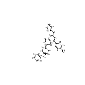 Clc1ccc(CCC(Cn2ccnc2)Sc2ccc(N3CCN(Cc4ccccc4)CC3)cc2)cc1